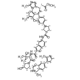 COC(=O)C[C@@H]1N=C(c2ccc(N3CCC(C(=O)Nc4ccc5oc(C(=O)NC(C(=O)N6C[C@H](O)C[C@H]6C(=O)N[C@@H](C)c6ccc(-c7scnc7C)cc6)C(C)(C)C)cc5c4)C3)cc2)c2c(sc(C)c2C)-n2c(C)nnc21